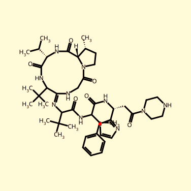 CC(C)[C@@H]1NC(=O)[C@@H]2[C@H](C)CCN2C(=O)CN/C(=N\C(C(=O)NC(C(=O)N[C@H](CC(=O)N2CCNCC2)c2nccs2)[C@@H](C)c2ccccc2)C(C)(C)C)C(C(C)(C)C)NC1=O